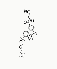 CC(C)(OCOCC[Si](C)(C)C)c1cccn2c(C3(c4ccc(C(=O)NCCC#N)cc4)CC3)nnc12